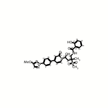 COc1cnn(-c2ccc(-c3ccn(C(O)CC(C)(CNC(=O)c4ccccc4O)S(C)(=O)=O)c(=O)c3)cc2)n1